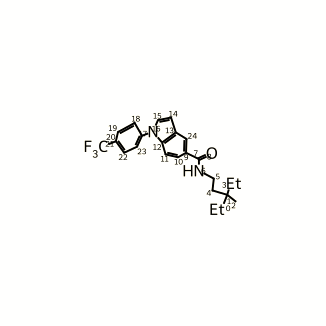 CCC(C)(CC)CCNC(=O)c1ccc2c(ccn2-c2ccc(C(F)(F)F)cc2)c1